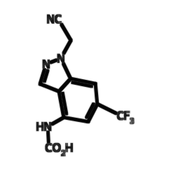 N#CCn1ncc2c(NC(=O)O)cc(C(F)(F)F)cc21